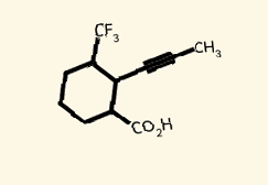 CC#CC1C(C(=O)O)CCCC1C(F)(F)F